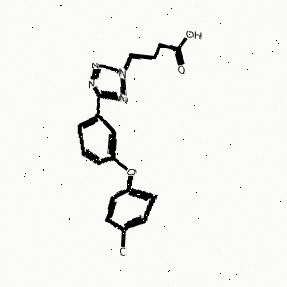 O=C(O)CCCn1nnc(-c2cccc(Oc3ccc(Cl)cc3)c2)n1